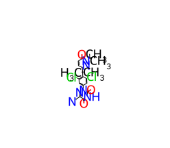 CC(C)n1nc(C(C)(C)c2c(Cl)cc(-n3nc(C#N)c(=O)[nH]c3=O)cc2Cl)ccc1=O